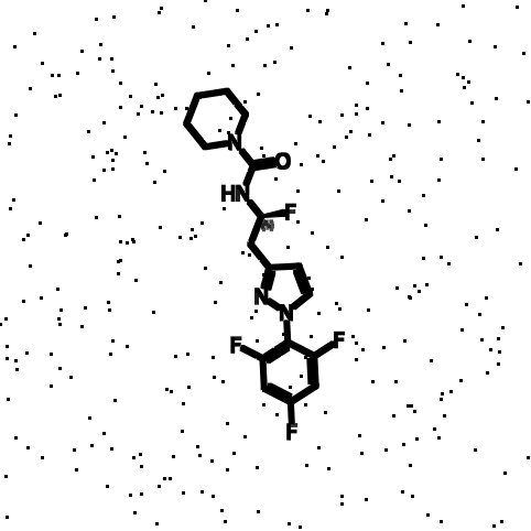 O=C(N[C@@H](F)Cc1ccn(-c2c(F)cc(F)cc2F)n1)N1CCCCC1